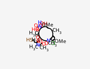 COc1cc2cc(c1Cl)N(C)C(=O)C[C@H](OC(=O)[C@H](C)N(C)C(=O)CCS)[C@]1(C)O[C@H]1C(C)[C@]1(O)C[C@@](OO)(NC(=O)O1)[C@H](OC)/C=C/CC(C)C2